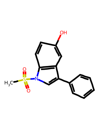 CS(=O)(=O)n1cc(-c2ccccc2)c2cc(O)ccc21